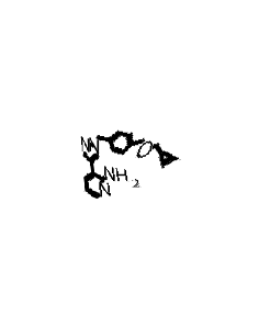 Nc1ncccc1-c1cnn(Cc2ccc(COCC3CC3)cc2)c1